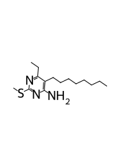 CCCCCCCCc1c(N)nc(SC)nc1CC